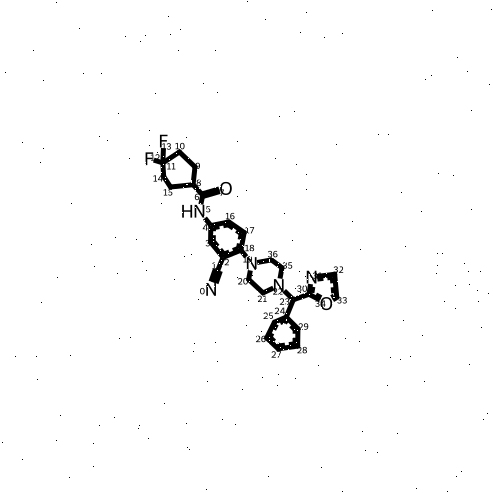 N#Cc1cc(NC(=O)C2CCC(F)(F)CC2)ccc1N1CCN(C(c2ccccc2)c2ncco2)CC1